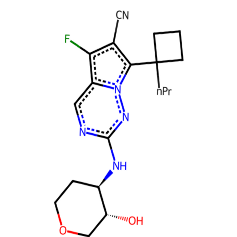 CCCC1(c2c(C#N)c(F)c3cnc(N[C@@H]4CCOC[C@H]4O)nn23)CCC1